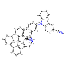 N#Cc1ccc2c(c1)c1ccccc1n2-c1ccc(-c2cccc([Si](c3ccccc3)(c3ccccc3)c3ccccc3)c2C#N)c(C#N)c1